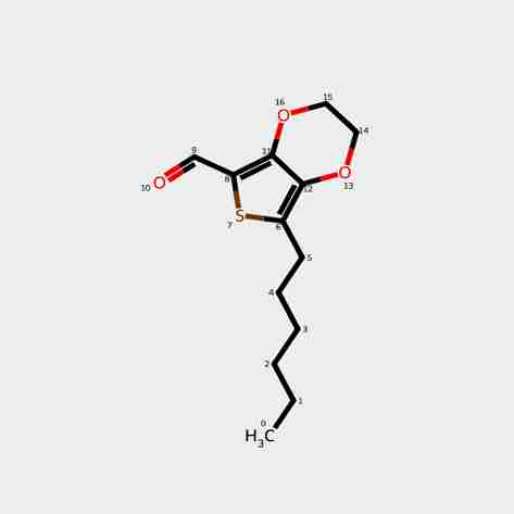 CCCCCCc1sc(C=O)c2c1OCCO2